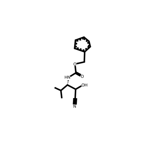 CC(C)[C@H](NC(=O)OCc1ccccc1)C(O)C#N